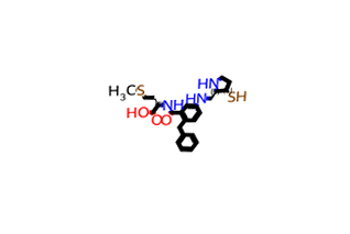 CSCC[C@H](NC(=O)c1cc(NC[C@H]2NCC[C@@H]2S)ccc1Cc1ccccc1)C(=O)O